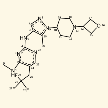 CNc1nc(Nc2cnn(C3CCN(C4COC4)CC3)c2C)ncc1CC(F)(F)F